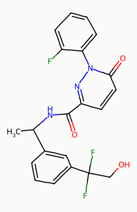 CC(NC(=O)c1ccc(=O)n(-c2ccccc2F)n1)c1cccc(C(F)(F)CO)c1